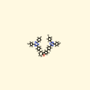 Cc1ccc(-c2nc(-c3ccc(C)cc3)nc(-c3ccc(C4=Cc5c(oc6ccc(-c7ccc(-c8nc(-c9ccc(C)cc9)nc(-c9ccc(C)cc9)n8)cc7)cc56)CC=C4)cc3)n2)cc1